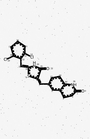 O=c1ccc2cc(C=c3sc(=Cc4c(Cl)cccc4Cl)[nH]c3=O)ccc2[nH]1